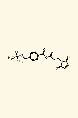 CC(C)(C)OCc1ccc(C(=O)OC(=O)CCN2C(=O)C=CC2=O)cc1